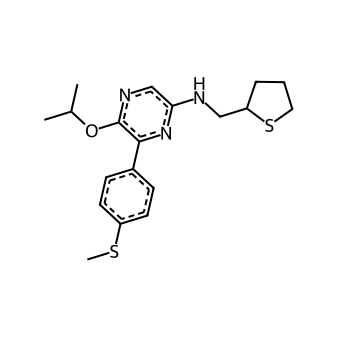 CSc1ccc(-c2nc(NCC3CCCS3)cnc2OC(C)C)cc1